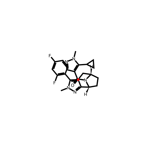 Cn1nc2c(c1-c1ccc(F)cc1F)C[C@@H]1CC[C@H]2N1C(=O)c1cnn(C)c1C1CC1